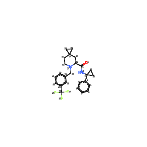 O=C(NC1(c2ccccc2)CC1)C1CC2(CCN1Cc1cccc(C(F)(F)F)c1)CC2